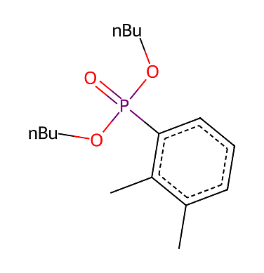 CCCCOP(=O)(OCCCC)c1cccc(C)c1C